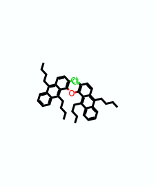 CCCCc1c2ccccc2c(CCCC)c2c(Oc3c(Cl)ccc4c(CCCC)c5ccccc5c(CCCC)c34)c(Cl)ccc12